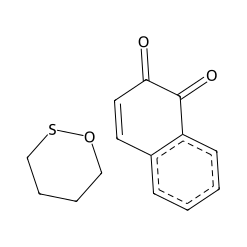 C1CCSOC1.O=C1C=Cc2ccccc2C1=O